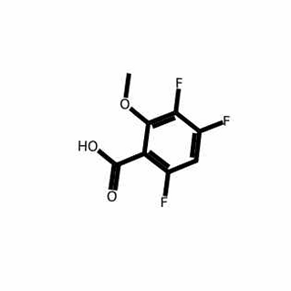 COc1c(F)c(F)cc(F)c1C(=O)O